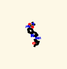 Cc1ccc(CNc2ccc3cc(NS(=O)(=O)N(C)C)ccc3n2)o1